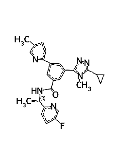 Cc1ccc(-c2cc(C(=O)N[C@H](C)c3ccc(F)cn3)cc(-c3nnc(C4CC4)n3C)c2)nc1